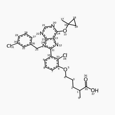 CC(CCCOc1cccc(-c2nc3c(OC4(C)CC4)ncnc3n2Cc2cccc(Cl)c2)c1Cl)C(=O)O